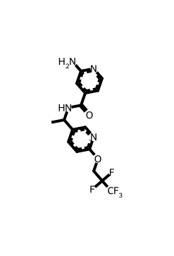 CC(NC(=O)c1ccnc(N)c1)c1ccc(OCC(F)(F)C(F)(F)F)nc1